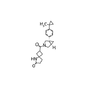 CC1(c2ccc([C@]34C[C@H]3CN(C(=O)C3CC5(CCC(=O)N5)C3)C4)cc2)CC1